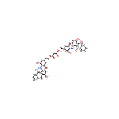 O=C(CC(=O)OCCc1cc(Br)c(Nc2ccc(O)c3c2C(=O)c2ccccc2C3=O)c(Br)c1)OCCc1cc(Br)c(Nc2ccc(O)c3c2C(=O)c2ccccc2C3=O)c(Br)c1